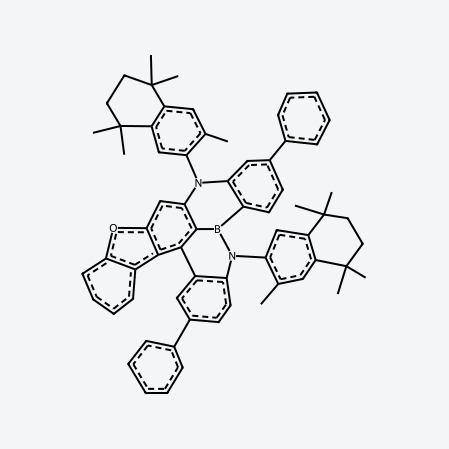 Cc1cc2c(cc1N1B3c4ccc(-c5ccccc5)cc4N(c4cc5c(cc4C)C(C)(C)CCC5(C)C)c4cc5oc6ccccc6c5c(c43)-c3cc(-c4ccccc4)ccc31)C(C)(C)CCC2(C)C